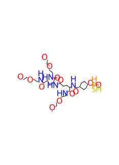 COCCOCCNC(=O)CCC(NC(=O)CCC(NC(=O)[C@H]1CC[C@@H](O[PH](=O)S)CC1)C(=O)NCCOCCOC)C(=O)NCCOCCOC